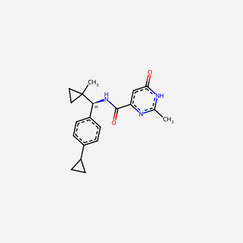 Cc1nc(C(=O)N[C@@H](c2ccc(C3CC3)cc2)C2(C)CC2)cc(=O)[nH]1